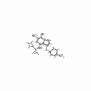 CC(Nc1nc(C#N)c(Br)c2ncn(Cc3ccc(C(F)(F)F)cc3)c12)C1CCC1